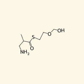 CC(CN)C(=O)SCCOCO